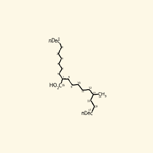 CCCCCCCCCCCCCCCCC(CCCCCC(C)CCCCCCCCCCCC)C(=O)O